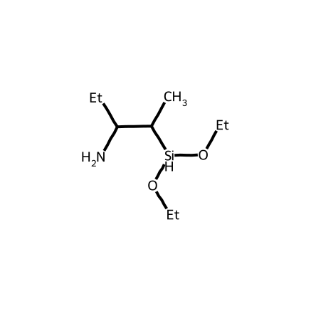 CCO[SiH](OCC)C(C)C(N)CC